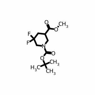 COC(=O)C1CN(C(=O)OC(C)(C)C)CC(F)(F)C1